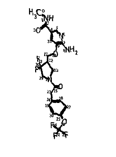 CNC(=O)c1cnc(N)c(OCC2CN(C(=O)Cc3ccc(OC(F)(F)F)cc3)CC2(F)F)c1